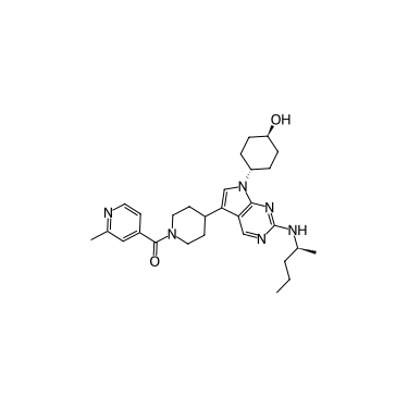 CCC[C@H](C)Nc1ncc2c(C3CCN(C(=O)c4ccnc(C)c4)CC3)cn([C@H]3CC[C@H](O)CC3)c2n1